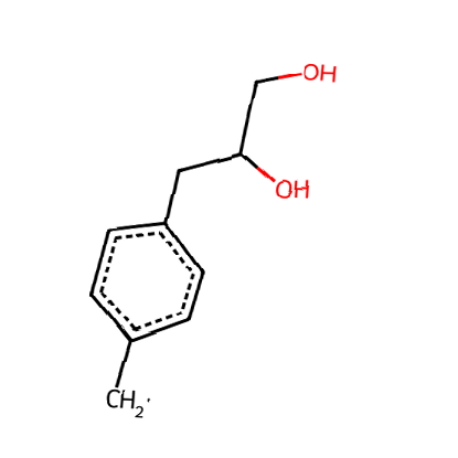 [CH2]c1ccc(CC(O)CO)cc1